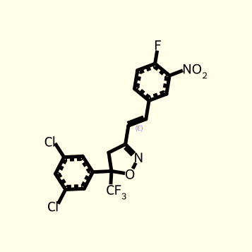 O=[N+]([O-])c1cc(/C=C/C2=NOC(c3cc(Cl)cc(Cl)c3)(C(F)(F)F)C2)ccc1F